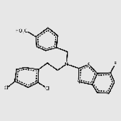 O=C(O)c1ccc(CN(CCc2ccc(Cl)cc2Cl)c2nc3cccc(F)c3s2)cc1